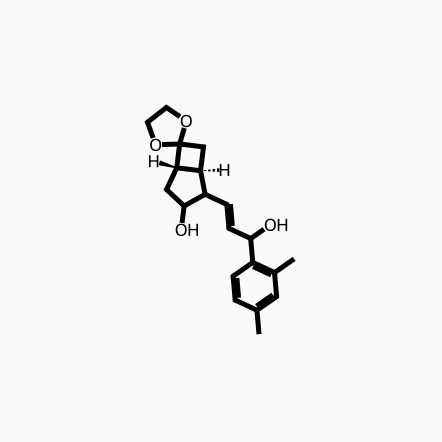 Cc1ccc(C(O)C=CC2C(O)C[C@H]3[C@H]2CC32OCCO2)c(C)c1